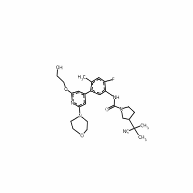 Cc1cc(F)c(NC(=O)N2CCC(C(C)(C)C#N)C2)cc1-c1cc(OCCO)nc(N2CCOCC2)c1